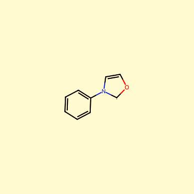 [CH]1OC=CN1c1ccccc1